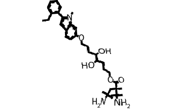 CCc1ccccc1-c1cc2ccc(OCCCC(O)C(O)CCCOC(=O)C(C)(CC(C)(C)N)C(C)(C)N)cc2n1C